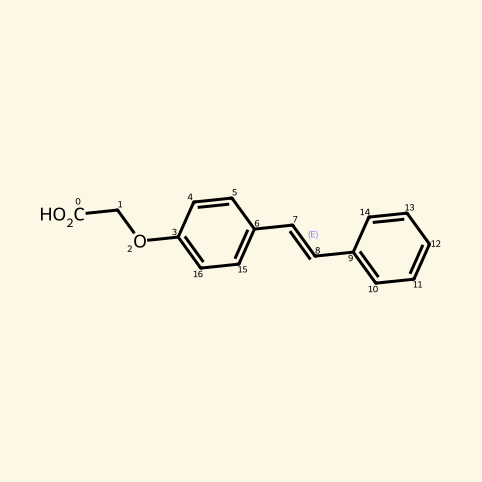 O=C(O)COc1ccc(/C=C/c2ccccc2)cc1